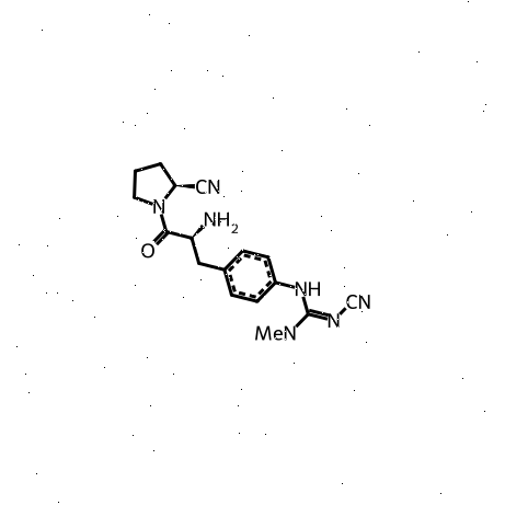 CN/C(=N/C#N)Nc1ccc(C[C@H](N)C(=O)N2CCC[C@H]2C#N)cc1